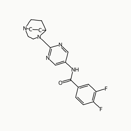 O=C(Nc1cnc(N2CCN3CCC2CC3)nc1)c1ccc(F)c(F)c1